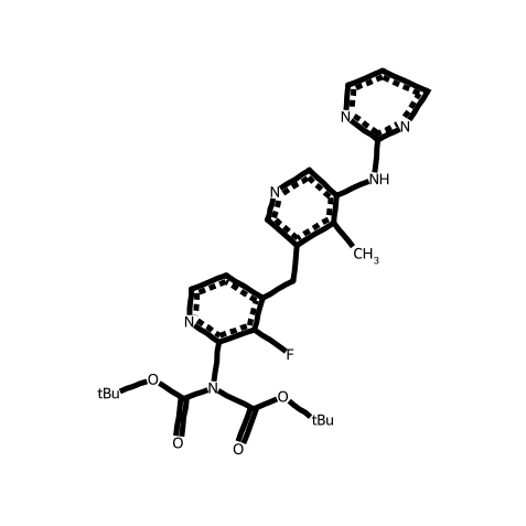 Cc1c(Cc2ccnc(N(C(=O)OC(C)(C)C)C(=O)OC(C)(C)C)c2F)cncc1Nc1ncccn1